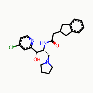 O=C(CC1Cc2ccccc2C1)N[C@H](CN1CCCC1)[C@H](O)c1cc(Cl)ccn1